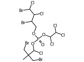 CC(CBr)(CBr)C(Cl)OP(=O)(OCC(Br)C(Cl)C(Cl)Br)OC(Cl)C(Cl)Cl